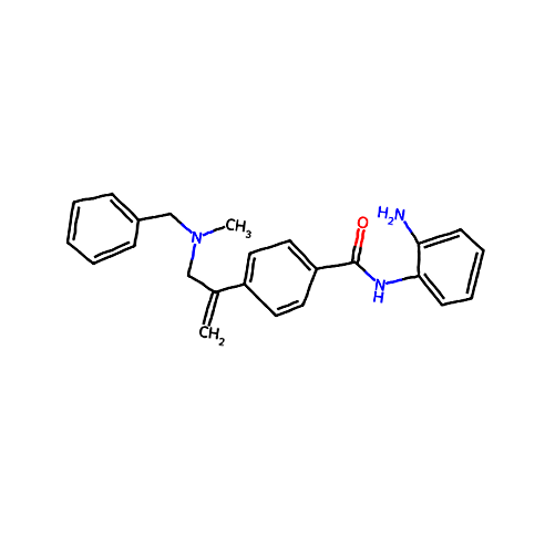 C=C(CN(C)Cc1ccccc1)c1ccc(C(=O)Nc2ccccc2N)cc1